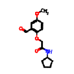 COc1ccc(OCC(=O)NC2CCCC2)c(C=O)c1